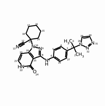 CC(C)(c1ccc(Nc2nn(C3(C#N)CCCCC3)c3cc[nH]c(=O)c23)cc1)n1ccnn1